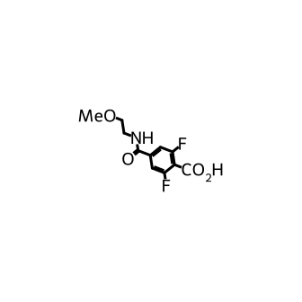 COCCNC(=O)c1cc(F)c(C(=O)O)c(F)c1